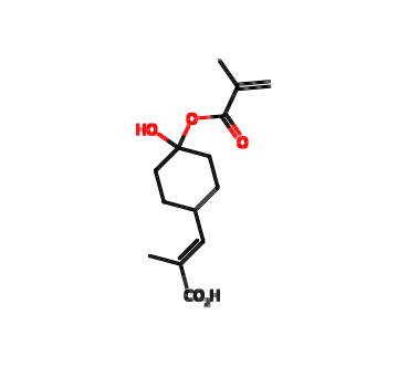 C=C(C)C(=O)OC1(O)CCC(C=C(C)C(=O)O)CC1